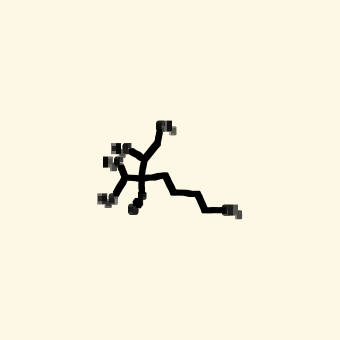 CCCCCC(P=O)(C(C)C)C(C)CC